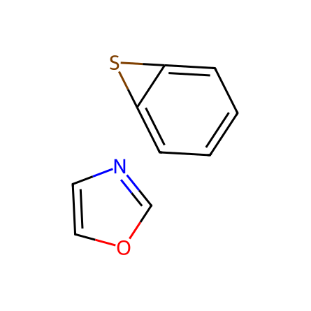 c1ccc2c(c1)S2.c1cocn1